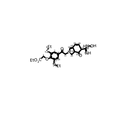 CCOC(=O)COc1c(SCC)cc(C(=O)CN2C=C3C=CC(C(=N)NO)C(=O)C3C2)cc1SCC